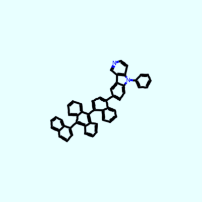 c1ccc(-n2c3ccncc3c3cc(-c4ccc(-c5c6ccccc6c(-c6cccc7ccccc67)c6ccccc56)c5ccccc45)ccc32)cc1